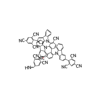 N#Cc1cc(C#N)c(-c2ccc3c(c2)c2ccccc2n3-c2ccc(C#N)cc2-c2ccc(C#N)c(-n3c4ccccc4c4cc(-c5c(C#N)cc(C#N)cc5C#N)ccc43)c2-n2c3ccccc3c3cc(-c4c(C#N)cc(C=N)cc4C#N)ccc32)c(C#N)c1